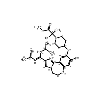 COC(=O)C(C)(C)N1CCC(Sc2cc3c(cc2F)OCCn2cc(/C(=N/C(C)=N)NC(C)C)nc2-3)CC1